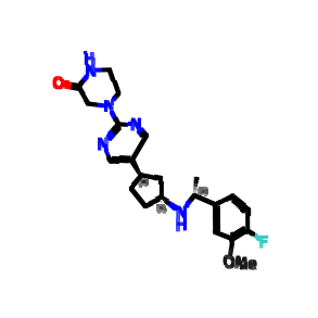 COc1cc([C@@H](C)N[C@H]2CC[C@@H](c3cnc(N4CCNC(=O)C4)nc3)C2)ccc1F